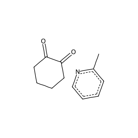 Cc1ccccn1.O=C1CCCCC1=O